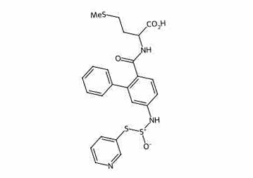 CSCCC(NC(=O)c1ccc(N[S+]([O-])Sc2cccnc2)cc1-c1ccccc1)C(=O)O